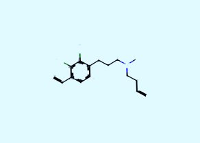 C=CCCN(C)CCCc1ccc(C=C)c(F)c1F